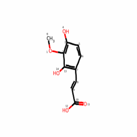 COc1c(O)ccc(C=CC(=O)O)c1O